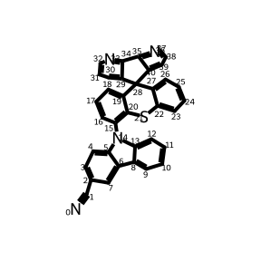 N#Cc1ccc2c(c1)c1ccccc1n2-c1cccc2c1Sc1ccccc1C21c2cccnc2-c2ncccc21